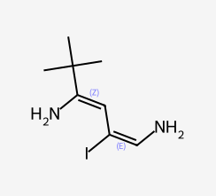 CC(C)(C)/C(N)=C/C(I)=C\N